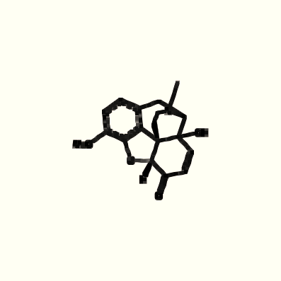 COc1ccc2c3c1O[C@H]1C(=O)C=CC4(O)C(C2)N(C)CC[C@]314